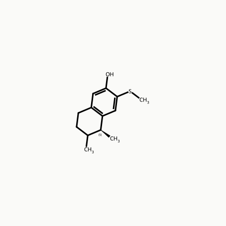 CSc1cc2c(cc1O)CCC(C)[C@@H]2C